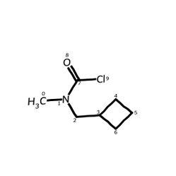 CN(CC1CCC1)C(=O)Cl